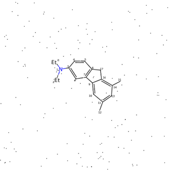 CCN(CC)c1ccc2c(c1)-c1cc(C)cc(C)c1C2